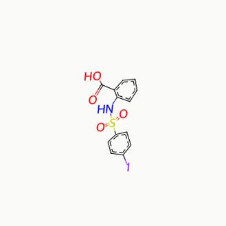 O=C(O)c1ccccc1NS(=O)(=O)c1ccc(I)cc1